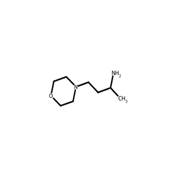 CC(N)CCN1CCOCC1